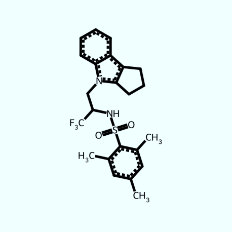 Cc1cc(C)c(S(=O)(=O)NC(Cn2c3c(c4ccccc42)CCC3)C(F)(F)F)c(C)c1